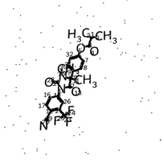 CC(C)C(=O)Oc1ccc(C2(C)C(=O)N(c3ccc(C#N)c(C(F)(F)F)c3)C(=O)N2C)cc1